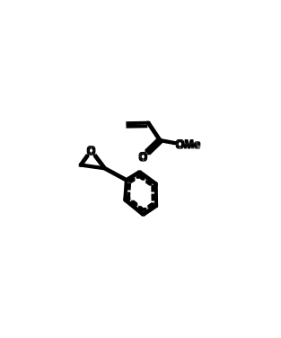 C=CC(=O)OC.c1ccc(C2CO2)cc1